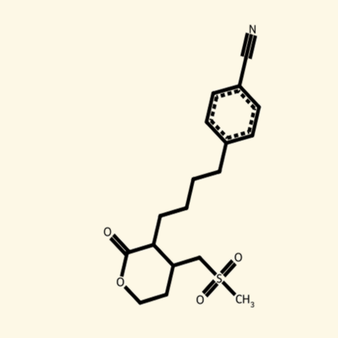 CS(=O)(=O)CC1CCOC(=O)C1CCCCc1ccc(C#N)cc1